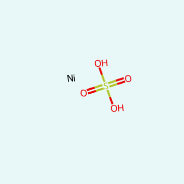 O=S(=O)(O)O.[Ni]